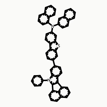 c1ccc(-n2c3c(c4ccc(-c5ccc6c(c5)sc5cc(N(c7ccc8ccccc8c7)c7cccc8ccccc78)ccc56)cc42)-c2cccc4cccc-3c24)cc1